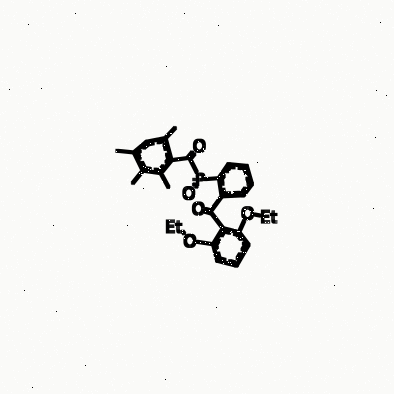 CCOc1cccc(OCC)c1C(=O)c1ccccc1[P](=O)C(=O)c1c(C)cc(C)c(C)c1C